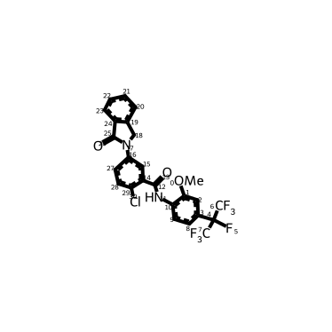 COc1cc(C(F)(C(F)(F)F)C(F)(F)F)ccc1NC(=O)c1cc(N2Cc3ccccc3C2=O)ccc1Cl